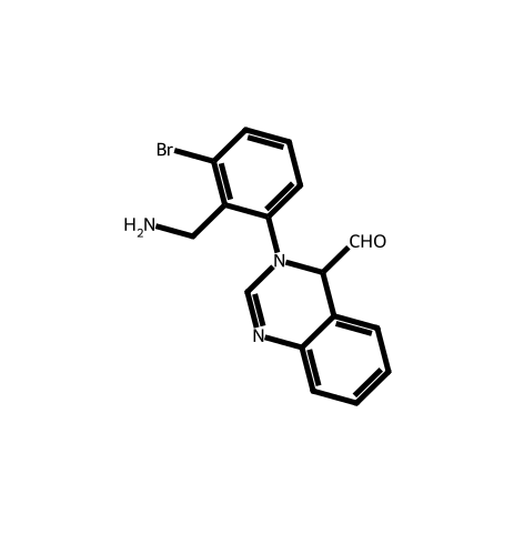 NCc1c(Br)cccc1N1C=Nc2ccccc2C1C=O